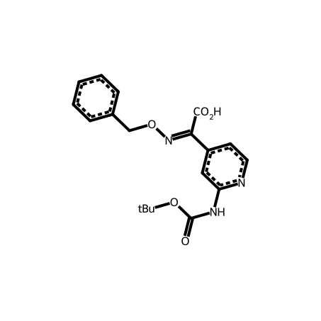 CC(C)(C)OC(=O)Nc1cc(C(=NOCc2ccccc2)C(=O)O)ccn1